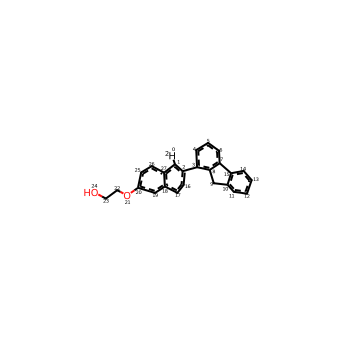 [2H]c1c(-c2cccc3c2Cc2ccccc2-3)ccc2cc(OCCO)ccc12